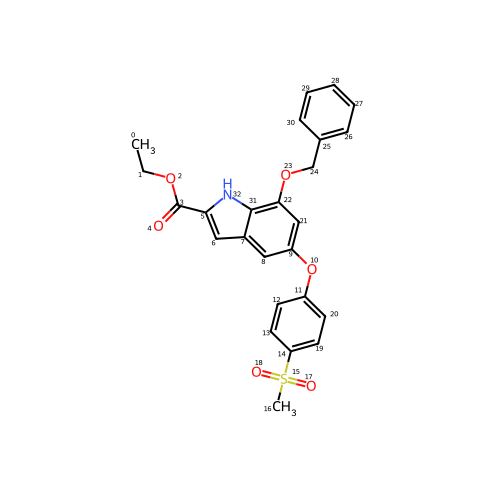 CCOC(=O)c1cc2cc(Oc3ccc(S(C)(=O)=O)cc3)cc(OCc3ccccc3)c2[nH]1